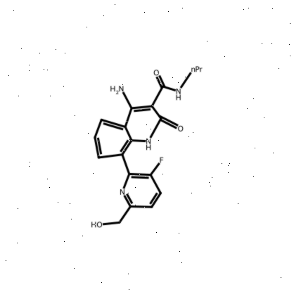 CCCNC(=O)c1c(N)c2cccc(-c3nc(CO)ccc3F)c2[nH]c1=O